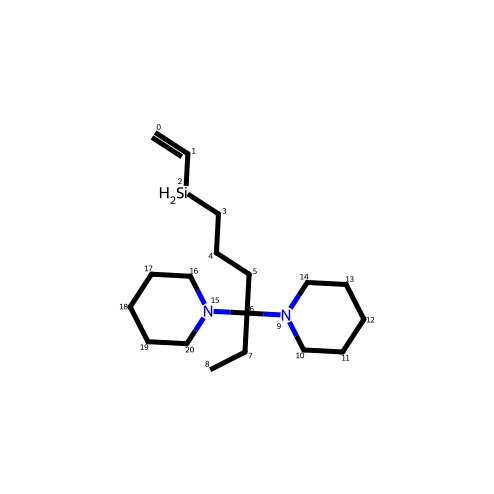 C=C[SiH2]CCCC(CC)(N1CCCCC1)N1CCCCC1